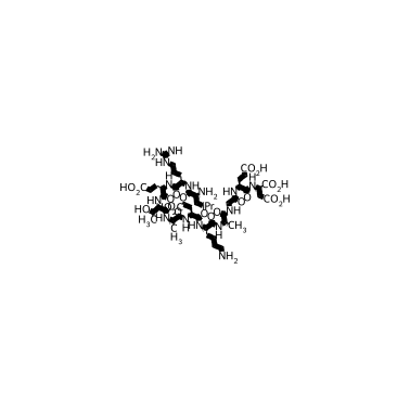 CC(C)C[C@H](N)C(=O)N[C@@H](CCCNC(=N)N)C(=O)N[C@@H](CCC(=O)O)C(=O)N[C@H](C(=O)N[C@@H](C)C(=O)N[C@@H](CCC(=O)O)C(=O)N[C@@H](CCCCN)C(=O)N[C@@H](C)C(=O)NCC(=O)N[C@@H](CCC(=O)O)C(=O)N[C@@H](CC(=O)O)C(=O)O)[C@@H](C)O